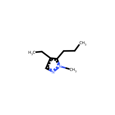 CCCc1c(CC)[c]nn1C